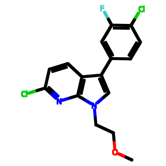 COCCn1cc(-c2ccc(Cl)c(F)c2)c2ccc(Cl)nc21